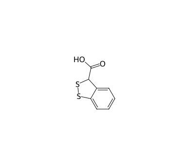 O=C(O)C1SSc2ccccc21